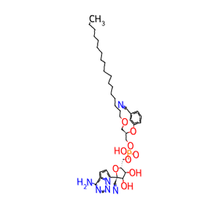 CCCCCCCCCCCCCCCCCCOC[C@H](COP(=O)(O)OC[C@H]1O[C@@](C#N)(c2ccc3c(N)ncnn23)[C@H](O)[C@@H]1O)Oc1cccc(C#N)c1